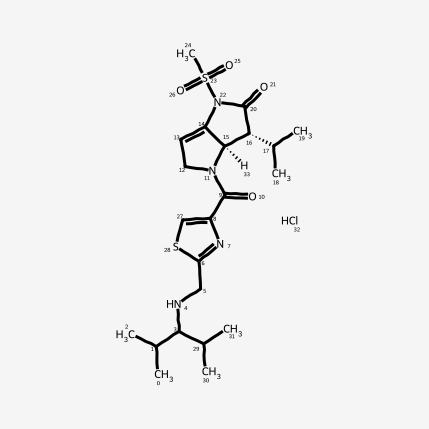 CC(C)C(NCc1nc(C(=O)N2CC=C3[C@H]2[C@@H](C(C)C)C(=O)N3S(C)(=O)=O)cs1)C(C)C.Cl